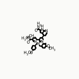 COc1ccc(CN(Cc2ccc(OC)cc2)c2ncc(-c3ccnc4[nH]c(C(N)=O)cc34)cc2-c2ccc(C(=O)N(C)C)cn2)cc1